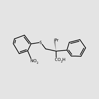 CC(C)[C@@](CSc1ccccc1[N+](=O)[O-])(C(=O)O)c1ccccc1